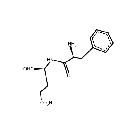 N[C@@H](Cc1ccccc1)C(=O)N[C@H]([C]=O)CCC(=O)O